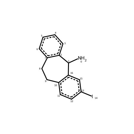 NC1c2ccccc2CCc2ccc(I)cc21